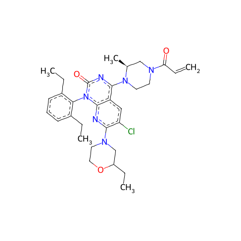 C=CC(=O)N1CCN(c2nc(=O)n(-c3c(CC)cccc3CC)c3nc(N4CCOC(CC)C4)c(Cl)cc23)[C@@H](C)C1